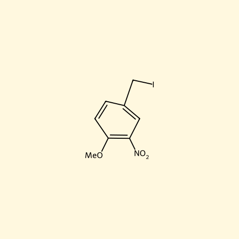 COc1ccc(CI)cc1[N+](=O)[O-]